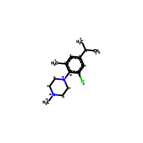 Cc1cc(C(C)C)cc(Cl)c1N1CCN(C)CC1